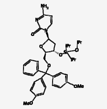 COc1ccc(C(OC[C@H]2O[C@@H](n3ccc(N)nc3=O)C[C@@H]2O[Si](OC(C)C)(C(C)C)C(C)C)(c2ccccc2)c2ccc(OC)cc2)cc1